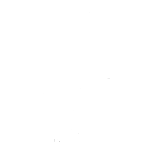 COC(=O)C(Oc1ccc2cc(C(=N)N)sc2c1)c1ccc(OC)c(F)c1